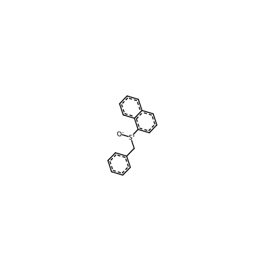 [O-][S+](Cc1ccccc1)c1cccc2ccccc12